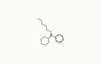 CCCCCCP(c1ccccc1)C1CCCCC1